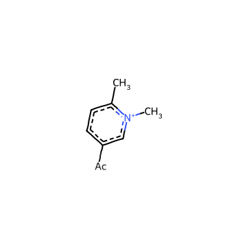 CC(=O)c1ccc(C)[n+](C)c1